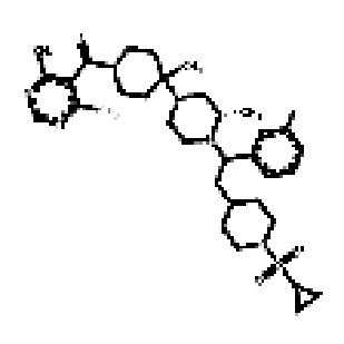 Cc1ncnc(C)c1C(=O)N1CCC(C)(N2CCN(C(CC3CCN(S(=O)(=O)C4CC4)CC3)c3cccc(F)c3)[C@@H](C)C2)CC1